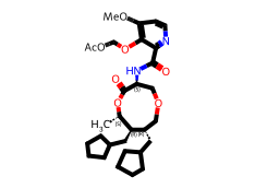 COc1ccnc(C(=O)N[C@H]2COC[C@H](CC3CCCC3)[C@@H](CC3CCCC3)[C@H](C)OC2=O)c1OCOC(C)=O